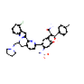 CNC(=O)c1c(-c2ccc(C)cc2)oc2cc(N(C)S(C)(=O)=O)c(-c3ccc4c(n3)-c3cc5c(F)cccc5n3C(CN3CC[C@@H](F)C3)C4)cc12